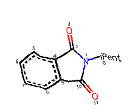 CCCC(C)N1C(=O)c2ccccc2C1=O